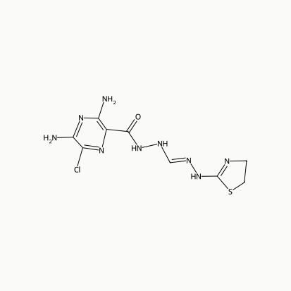 Nc1nc(N)c(C(=O)NNC=NNC2=NCCS2)nc1Cl